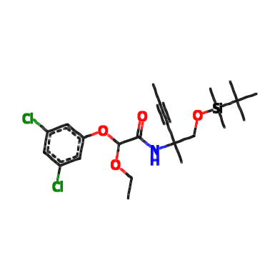 CC#CC(C)(CO[Si](C)(C)C(C)(C)C)NC(=O)C(OCC)Oc1cc(Cl)cc(Cl)c1